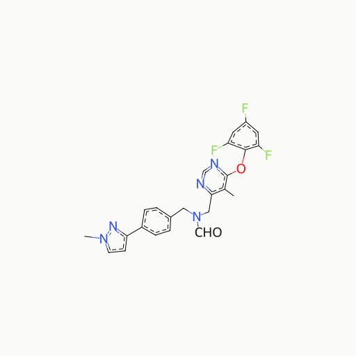 Cc1c(CN(C=O)Cc2ccc(-c3ccn(C)n3)cc2)ncnc1Oc1c(F)cc(F)cc1F